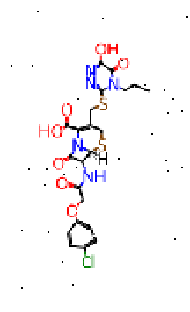 CCCn1c(SCC2=C(C(=O)O)N3C(=O)C(NC(=O)COc4ccc(Cl)cc4)[C@H]3SC2)nnc(O)c1=O